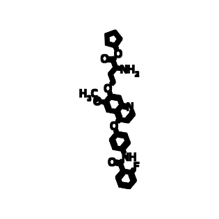 COc1cc2c(Oc3ccc(NC(=O)c4ccccc4F)cc3)ccnc2cc1OCCC(N)C(=O)OC1CCCC1